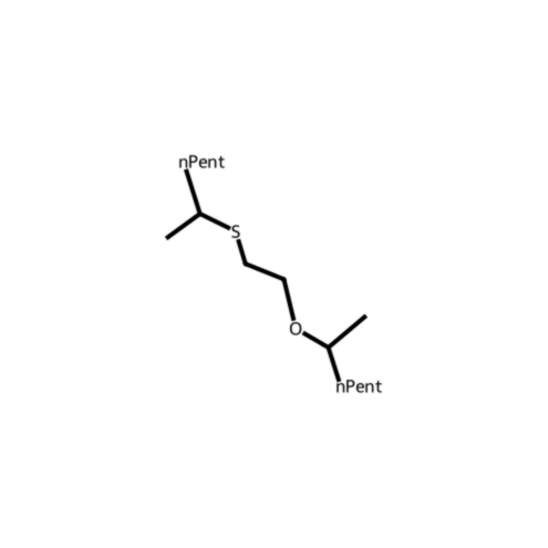 CCCCCC(C)OCCSC(C)CCCCC